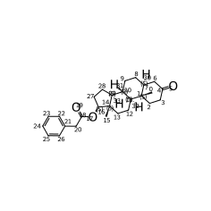 C[C@]12CCC(=O)C[C@@H]1CC[C@@H]1[C@@H]2CC[C@]2(C)[C@@H](OC(=O)Cc3ccccc3)CC[C@@H]12